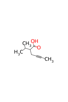 CC#CCC(C(=O)O)C(C)C